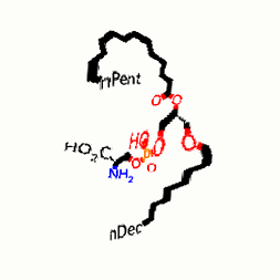 CCCCC/C=C\C/C=C\C/C=C\CCCCC(=O)O[C@H](CO/C=C\CCCCCCCCCCCCCCCC)COP(=O)(O)OC[C@H](N)C(=O)O